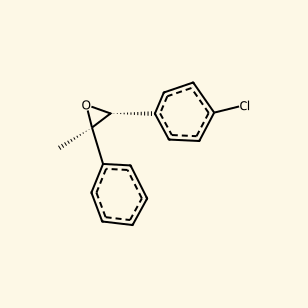 C[C@]1(c2ccccc2)O[C@@H]1c1ccc(Cl)cc1